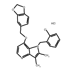 Cc1c(C)n(Cc2ccccc2Cl)c2c(OCc3ccc4c(c3)OCO4)ccnc12.Cl